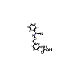 N#C/C(=N\OCc1cccc(NC(=O)O)n1)c1ccccc1